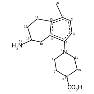 Cc1ccc(N2CCN(C(=O)O)CC2)c2c1CCC(N)C2